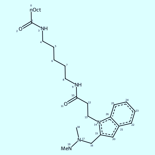 CCCCCCCCC(=O)NCCCCCNC(=O)CCn1c(CN(C)NC)cc2ccccc21